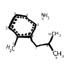 Cc1ccccc1CC(C)C.N